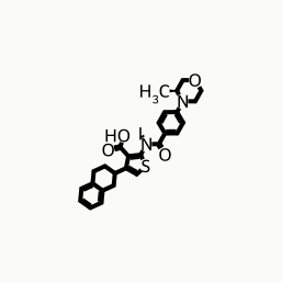 C[C@H]1COCCN1c1ccc(C(=O)N(I)c2scc(C3CCc4ccccc4C3)c2C(=O)O)cc1